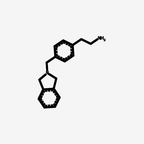 NCCc1ccc(CN2Cc3ccccc3C2)cc1